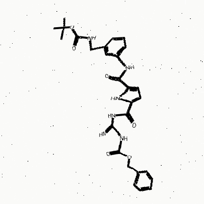 CC(C)(C)OC(=O)NCc1cccc(NC(=O)c2ccc(C(=O)NC(=N)NC(=O)OCc3ccccc3)[nH]2)c1